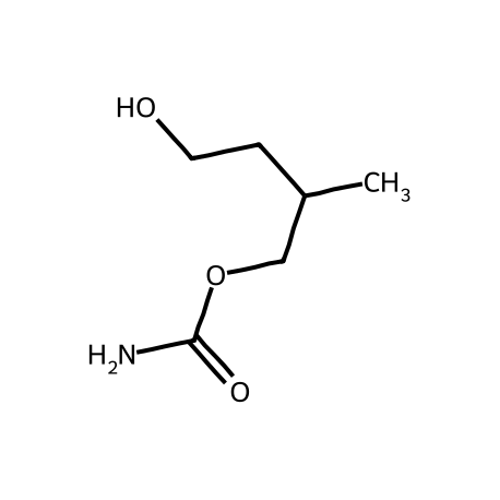 CC(CCO)COC(N)=O